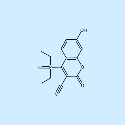 CCP(=O)(CC)c1c(C#N)c(=O)oc2cc(O)ccc12